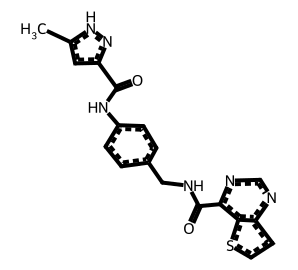 Cc1cc(C(=O)Nc2ccc(CNC(=O)c3ncnc4ccsc34)cc2)n[nH]1